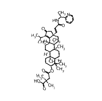 CC(C)C1=C2[C@H]3CC[C@@H]4[C@@]5(C)CC[C@H](OC(=O)CC(C)(C)C(=O)O)C(C)(C)[C@@H]5CC[C@@]4(C)[C@]3(C)CC[C@@]2(/C=C/C(=O)N[C@@H](C)c2ccccn2)CC1=O